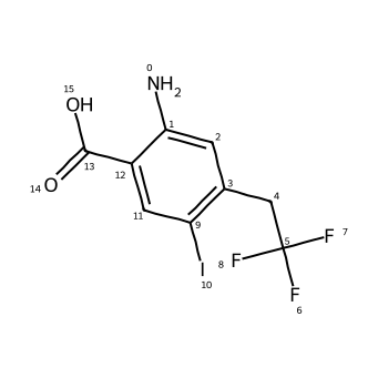 Nc1cc(CC(F)(F)F)c(I)cc1C(=O)O